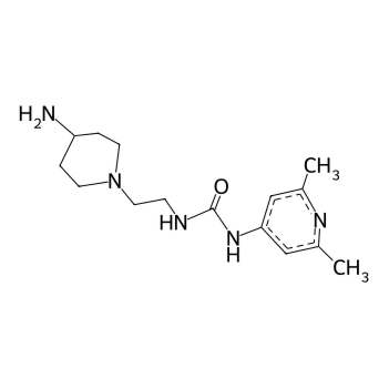 Cc1cc(NC(=O)NCCN2CCC(N)CC2)cc(C)n1